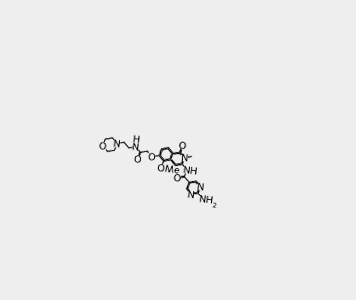 COc1c(OCC(=O)NCCN2CCOCC2)ccc2c(=O)n(C)c(NC(=O)c3cnc(N)nc3)cc12